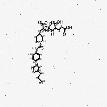 O=C(O)CCC(NC(=O)NC(CC1CCN(C(=S)Nc2ccc(-n3cc(CCCF)nn3)cc2)CC1)C(=O)O)C(=O)O